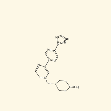 O[C@H]1CC[C@H](CN2C=C(c3ccc(-c4nc[nH]n4)nc3)N=CC2)CC1